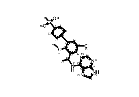 COc1c(-c2ccc(S(C)(=O)=O)cc2)cc(Cl)cc1C(C)Nc1ncnc2[nH]cnc12